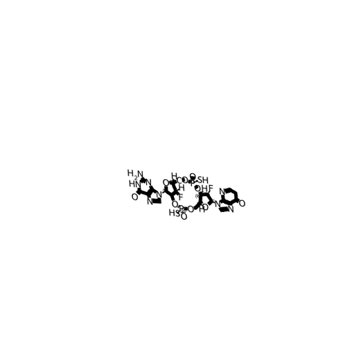 Nc1nc2c(ncn2[C@@H]2O[C@@H]3CO[P@@](=O)(S)O[C@H]4[C@H](F)[C@H](n5cnc6c5N=CCC6=O)O[C@@H]4CO[P@@](=O)(S)OC2[C@@H]3F)c(=O)[nH]1